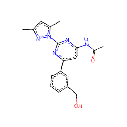 CC(=O)Nc1cc(-c2cccc(CO)c2)nc(-n2nc(C)cc2C)n1